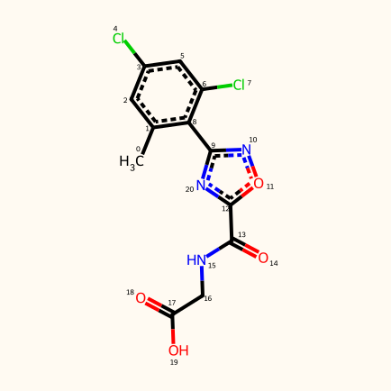 Cc1cc(Cl)cc(Cl)c1-c1noc(C(=O)NCC(=O)O)n1